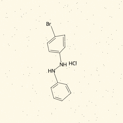 Brc1ccc(NNc2ccccc2)cc1.Cl